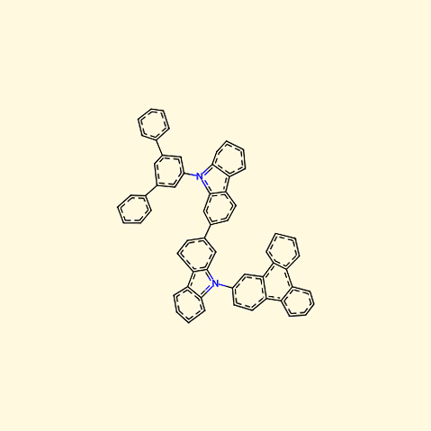 c1ccc(-c2cc(-c3ccccc3)cc(-n3c4ccccc4c4ccc(-c5ccc6c7ccccc7n(-c7ccc8c9ccccc9c9ccccc9c8c7)c6c5)cc43)c2)cc1